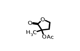 CC(=O)OC1(C)CCOC1=O